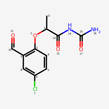 CC(Oc1ccc(Cl)cc1C=O)C(=O)NC(N)=O